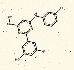 CC(C)Nc1cc(Nc2ccnc(C(F)(F)F)c2)nc(-c2cc(O)cc(F)c2)n1